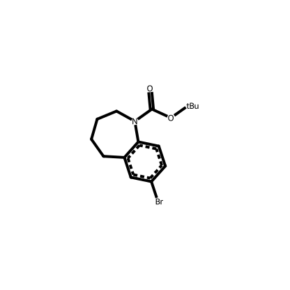 CC(C)(C)OC(=O)N1CCCCc2cc(Br)ccc21